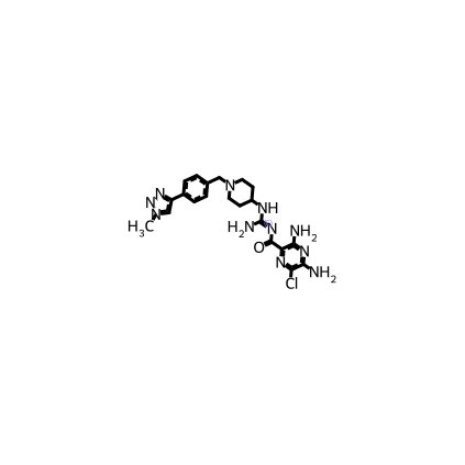 Cn1cc(-c2ccc(CN3CCC(N/C(N)=N/C(=O)c4nc(Cl)c(N)nc4N)CC3)cc2)nn1